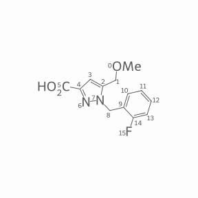 COCc1cc(C(=O)O)nn1Cc1ccccc1F